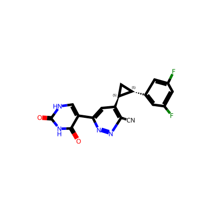 N#Cc1nnc(-c2c[nH]c(=O)[nH]c2=O)cc1[C@H]1C[C@@H]1c1cc(F)cc(F)c1